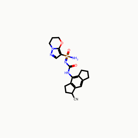 N#CC1CCc2c1cc1c(c2NC(=O)N=S(N)(=O)c2cnn3c2OCCC3)CCC1